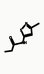 CCC(=O)Nc1cc(C)ns1